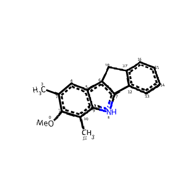 COc1c(C)cc2c3c([nH]c2c1C)-c1ccccc1C3